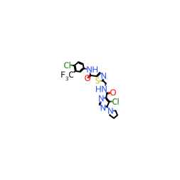 O=C(Nc1ccc(Cl)c(C(F)(F)F)c1)c1cnc(CNC(=O)c2ncnc(N3CCCC3)c2Cl)s1